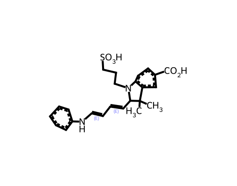 CC1(C)c2cc(C(=O)O)ccc2N(CCCS(=O)(=O)O)C1/C=C/C=C/Nc1ccccc1